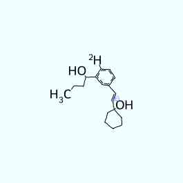 [2H]c1ccc(/C=C/C2(O)CCCCC2)cc1C(O)CCC